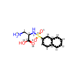 NC[C@@H](NS(=O)(=O)c1ccc2ccccc2c1)C(=O)O